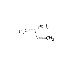 C=CC=C.[PbH2]